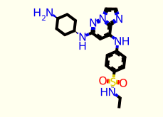 CCNS(=O)(=O)c1ccc(Nc2cc(N[C@H]3CC[C@H](N)CC3)nn3ccnc23)cc1